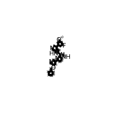 COc1cc(F)cc(-c2cncc3[nH]c(-c4n[nH]c5ccc(-c6cncc(OCc7ccccc7)c6)nc45)cc23)c1